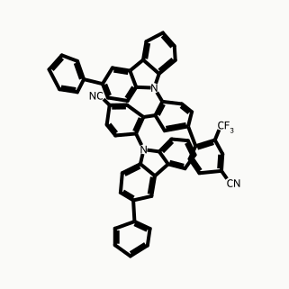 N#Cc1ccc(-n2c3ccccc3c3cc(-c4ccccc4)ccc32)c(-c2cc(-c3ccc(C#N)cc3C(F)(F)F)ccc2-n2c3ccccc3c3cc(-c4ccccc4)ccc32)c1